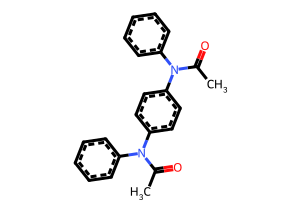 CC(=O)N(c1ccccc1)c1ccc(N(C(C)=O)c2ccccc2)cc1